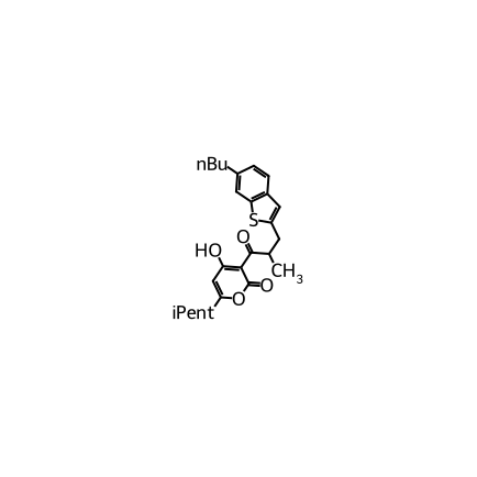 CCCCc1ccc2cc(CC(C)C(=O)c3c(O)cc(C(C)CCC)oc3=O)sc2c1